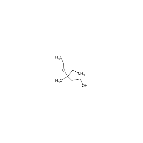 CCOC(C)(CC)CCO